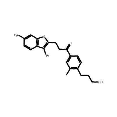 Cc1cc(C(=O)CCc2sc3cc(C(F)(F)F)ccc3c2C(C)C)ccc1CCCO